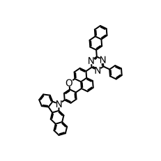 c1ccc(-c2nc(-c3ccc4ccccc4c3)nc(-c3ccc4c5c(cccc35)-c3ccc(-n5c6ccccc6c6cc7ccccc7cc65)cc3O4)n2)cc1